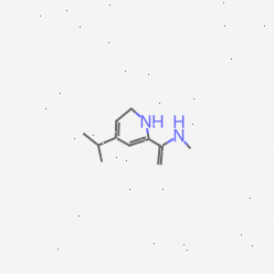 C=C(NC)C1=CC(C(C)C)=CCN1